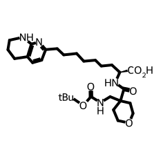 CC(C)(C)OC(=O)NCC1(C(=O)N[C@@H](CCCCCCCc2ccc3c(n2)NCCC3)C(=O)O)CCOCC1